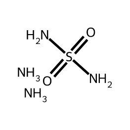 N.N.NS(N)(=O)=O